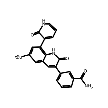 CC(C)(C)c1cc(-c2ccc[nH]c2=O)c2[nH]c(=O)c(-c3cccc(C(N)=O)c3)cc2c1